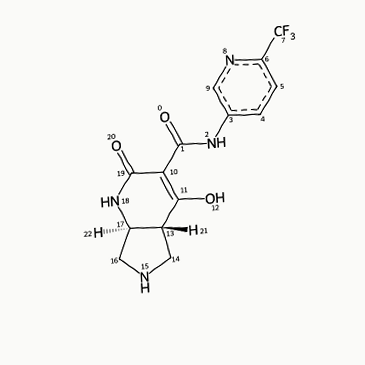 O=C(Nc1ccc(C(F)(F)F)nc1)C1=C(O)[C@@H]2CNC[C@H]2NC1=O